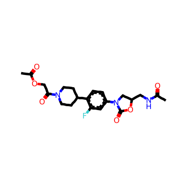 CC(=O)NCC1CN(c2ccc(C3CCN(C(=O)COC(C)=O)CC3)c(F)c2)C(=O)O1